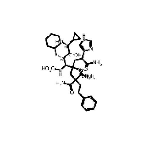 NC(=O)C(CC(CC(CCc1ccccc1)(C(N)=O)C(N)=O)(NC(=O)O)C(NC(=O)O)[C@H](CC1CCCCC1)[C@@H](O)[C@@H](O)C1CC1)c1c[nH]cn1